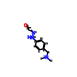 CN(C)Cc1ccc(NN=C=O)cc1